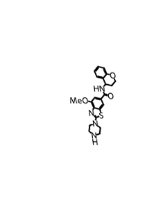 COc1cc(C(=O)NC2CCOc3ccccc32)cc2sc(N3CCNCC3)nc12